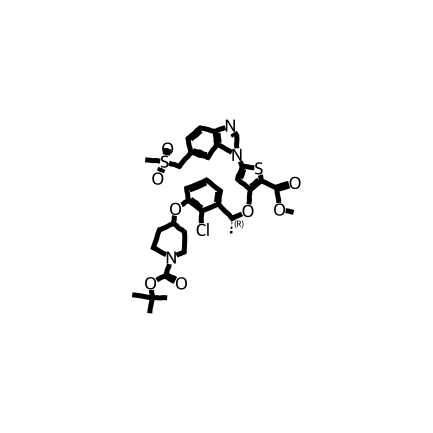 COC(=O)c1sc(-n2cnc3ccc(CS(C)(=O)=O)cc32)cc1O[C@H](C)c1cccc(OC2CCN(C(=O)OC(C)(C)C)CC2)c1Cl